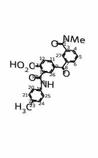 CNC(=O)c1cccc(C(=O)c2ccc(C(=O)O)c(C(=O)Nc3ccc(C)cc3)c2)c1